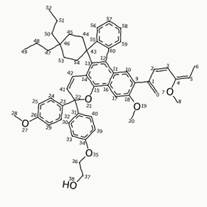 C=C(/C=C\C(=C/C)OC)c1cc2c3c(c4c(c2cc1OC)OC(c1ccc(OC)cc1)(c1ccc(OCCO)cc1)C=C4)C1(CCC(CCC)(CCC)CC1)c1ccccc1-3